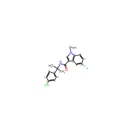 CCCCCn1cc(C(=O)NC(C)(C)c2ccc(Cl)cc2)c2cc(F)ccc21